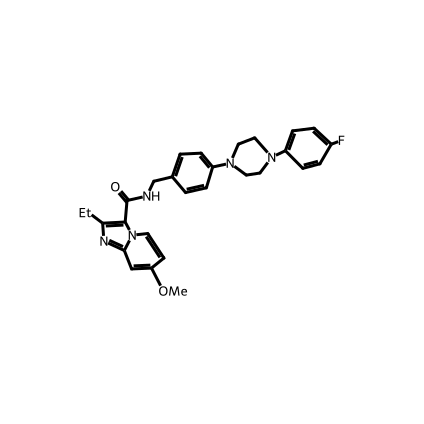 CCc1nc2cc(OC)ccn2c1C(=O)NCc1ccc(N2CCN(c3ccc(F)cc3)CC2)cc1